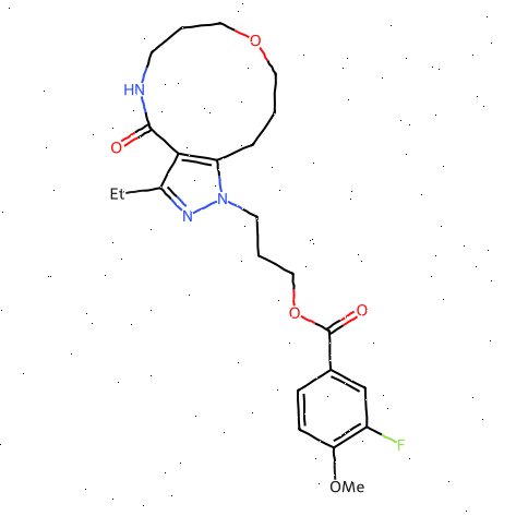 CCc1nn(CCCOC(=O)c2ccc(OC)c(F)c2)c2c1C(=O)NCCCOCCC2